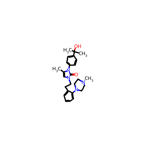 Cc1cn(CCc2ccccc2N2CCN(C)CC2)c(=O)n1-c1ccc(C(C)(C)O)cc1